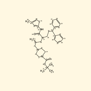 C=C(CN1CCN(C(=O)OC(C)(C)C)CC1)CN(CCC(c1ccccc1)c1ccccc1)C(=O)Nc1cc(C)cs1